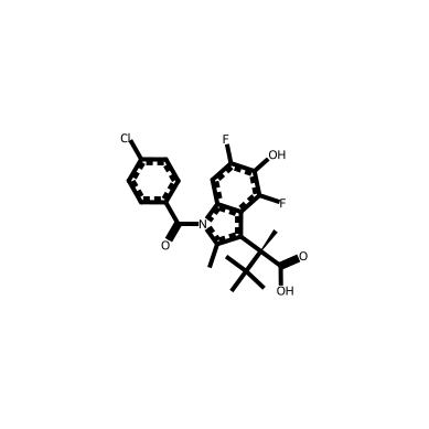 Cc1c([C@](C)(C(=O)O)C(C)(C)C)c2c(F)c(O)c(F)cc2n1C(=O)c1ccc(Cl)cc1